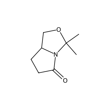 CC1(C)OCC2CCC(=O)N21